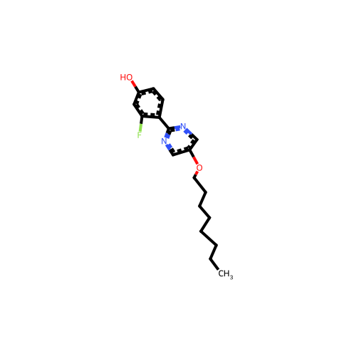 CCCCCCCCOc1cnc(-c2ccc(O)cc2F)nc1